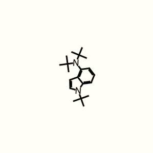 CC(C)(C)N(c1cccc2c1ccn2C(C)(C)C)C(C)(C)C